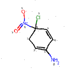 NC1=CCC(Cl)([N+](=O)[O-])C=C1